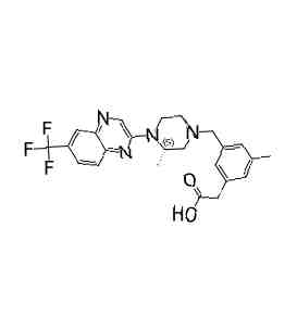 Cc1cc(CC(=O)O)cc(CN2CCN(c3cnc4cc(C(F)(F)F)ccc4n3)[C@@H](C)C2)c1